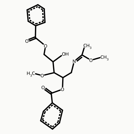 CO/C(C)=N\CC(OC(=O)c1ccccc1)C(OC)C(O)COC(=O)c1ccccc1